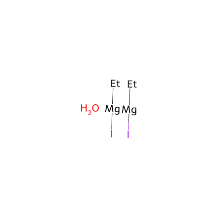 C[CH2][Mg][I].C[CH2][Mg][I].O